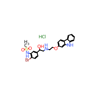 CS(=O)(=O)Nc1cc(C(O)CNCCOc2ccc3c(c2)[nH]c2ccccc23)ccc1Br.Cl